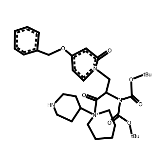 CC(C)(C)OC(=O)N(C(=O)OC(C)(C)C)C(Cn1ccc(OCc2ccccc2)cc1=O)C(=O)[N+]1(C2CCNCC2)CCCCC1